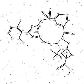 COC(=O)C12CC(CN3C(=O)c4cccc(c4)S(=O)(=O)Nc4nc(cc(-c5c(C)cccc5C)n4)OC[C@H]3CC(C)(C)C)(C1)C2